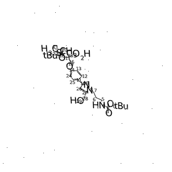 CC(C)(C)OC(=O)NCCCn1nc(-c2ccc(OCC(O[Si](C)(C)C(C)(C)C)C(=O)O)cc2)cc1CO